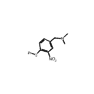 CC(C)Oc1ccc(CN(C)C)cc1[N+](=O)[O-]